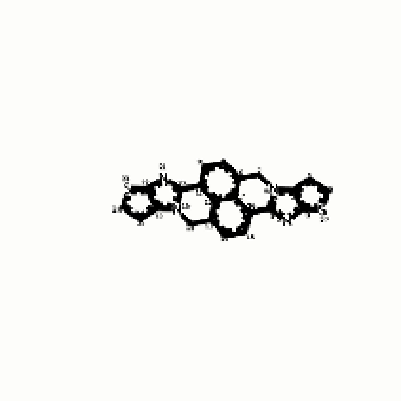 c1cc2c(nc3n2Cc2ccc4c5c(ccc-3c25)Cn2c-4nc3sccc32)s1